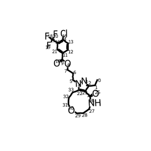 CCc1nn(CCCOC(=O)c2ccc(Cl)c(C(F)(F)F)c2)c2c1C(=O)NCCCOCCC2